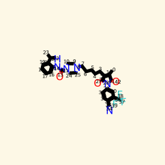 CC1=C(CCCCCN2CCN(C(=O)Nc3ccccc3C(C)C)CC2)C(=O)N(c2ccc(C#N)c(C(F)(F)F)c2)C1=O